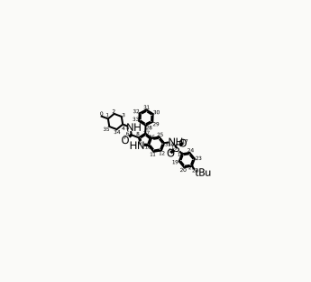 CC1CCC(NC(=O)c2[nH]c3ccc(NS(=O)(=O)c4ccc(C(C)(C)C)cc4)cc3c2-c2ccccc2)CC1